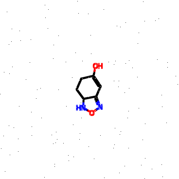 OC1=CC2=NONC2CC1